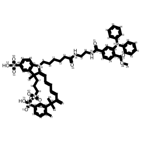 C=C(/C=C/C=C/C=C1/N(CCCCCC(=O)NCCNC(=O)c2ccc(C(=O)OC)c(P(c3ccccc3)c3ccccc3)c2)c2ccc(S(=O)(=O)O)cc2C1(C)CCCS(=O)(=O)O)C(C)(C)c1cc(S(=O)(=O)O)ccc1C